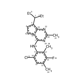 CCC(CC)c1cnn2c(Nc3c(Cl)cc(C)c(F)c3C)nc(C)nc12